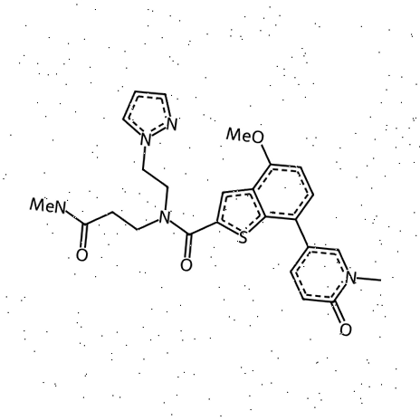 CNC(=O)CCN(CCn1cccn1)C(=O)c1cc2c(OC)ccc(-c3ccc(=O)n(C)c3)c2s1